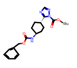 CC(C)(C)OC(=O)n1ncnc1[C@H]1CC[C@H](NC(=O)OCc2ccccc2)CC1